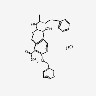 CC(CCc1ccccc1)NC1CCc2c(ccc(OCc3ccccc3)c2C(N)=O)C1O.Cl